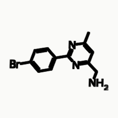 Cc1cc(CN)nc(-c2ccc(Br)cc2)n1